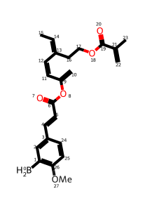 Bc1cc(/C=C/C(=O)OC(=C)/C=C\C(=C/C)CCOC(=O)C(=C)C)ccc1OC